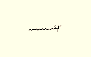 CCCCCCCCC=CCCCCCCCC(=O)N[C@@H](C)CO